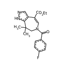 CCOC(=O)C1=CN(C(=O)c2ccc(F)cc2)CC(C)(C)c2[nH]ncc21